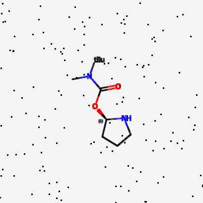 CN(C(=O)O[C@@H]1CCCN1)C(C)(C)C